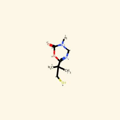 CC(C)N1CN=C(C(C)(C)CS)OC1=O